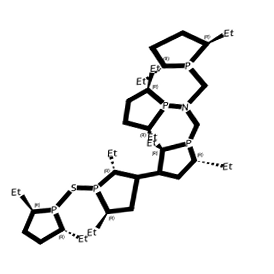 CC[C@@H]1CC[C@@H](CC)P1CN(CP1[C@H](CC)CC(C2C[C@@H](CC)P(SP3[C@H](CC)CC[C@H]3CC)[C@@H]2CC)[C@H]1CC)P1[C@H](CC)CC[C@H]1CC